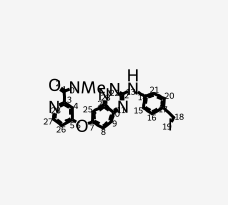 CNC(=O)c1cc(Oc2ccc3nc(Nc4ccc(CI)cc4)nnc3c2)ccn1